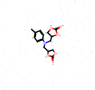 Cc1ccc(N(CC2COC(=O)O2)CC2COC(=O)O2)cc1